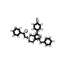 O=C(CN1CCc2c(c(-c3ccc(F)cc3)nn2Cc2ccccc2)C1)c1ccccc1